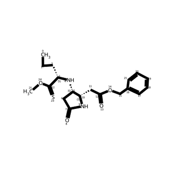 CCC[C@H](N[C@H]1CC(=O)N[C@H]1CC(=O)OCc1ccccc1)C(=S)OC